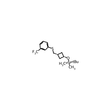 CC(C)(C)[Si](C)(C)O[C@H]1C[C@@H](CSc2cccc(C(F)(F)F)c2)C1